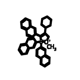 C[O+]1CC(C2CCCCC2)=C(c2ccc3ccccc3c2)[B-]1(c1ccc2ccccc2c1)c1ccc2ccccc2c1